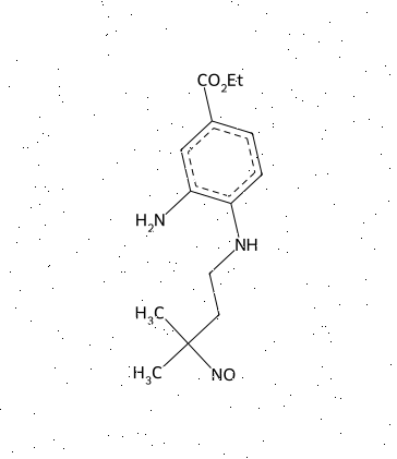 CCOC(=O)c1ccc(NCCC(C)(C)N=O)c(N)c1